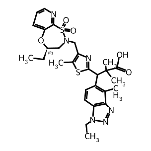 CC[C@@H]1CN(Cc2nc(C(c3ccc4c(nnn4CC)c3C)C(C)(C)C(=O)O)sc2C)S(=O)(=O)c2ncccc2O1